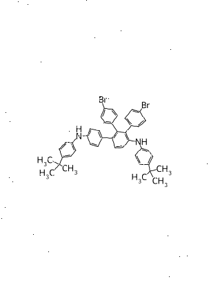 CC(C)(C)c1ccc(Nc2ccc(-c3ccc(Nc4ccc(C(C)(C)C)cc4)c(-c4ccc(Br)cc4)c3-c3ccc(Br)cc3)cc2)cc1